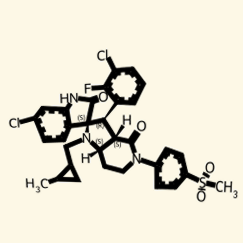 CC1CC1CN1[C@H]2CCN(c3ccc(S(C)(=O)=O)cc3)C(=O)[C@H]2[C@H](c2cccc(Cl)c2F)[C@]12C(=O)Nc1cc(Cl)ccc12